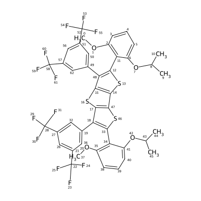 COc1cccc(OC(C)C)c1-c1sc2c(sc3c(-c4cc(C(F)(F)F)cc(C(F)(F)F)c4)c(-c4c(OC)cccc4OC(C)C)sc32)c1-c1cc(C(F)(F)F)cc(C(F)(F)F)c1